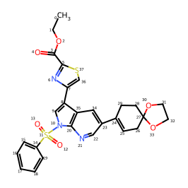 CCOC(=O)c1nc(-c2cn(S(=O)(=O)c3ccccc3)c3ncc(C4=CCC5(CC4)OCCO5)cc23)cs1